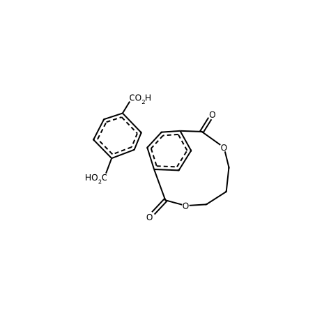 O=C(O)c1ccc(C(=O)O)cc1.O=C1OCCCOC(=O)c2ccc1cc2